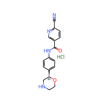 Cl.N#Cc1ccc(C(=O)Nc2ccc([C@@H]3CNCCO3)cc2)cn1